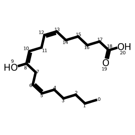 CCCCC/C=C\C/C(O)=C\C/C=C\CCCCC(=O)O